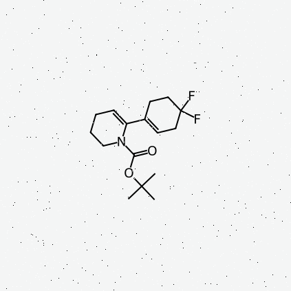 CC(C)(C)OC(=O)N1CCCC=C1C1=CCC(F)(F)CC1